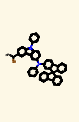 CCCC(S)c1ccc2c(c1)c1cc(N(c3ccccc3)c3ccc4c(c3)C3(c5ccccc5-c5ccccc53)c3ccccc3-4)ccc1n2-c1ccccc1